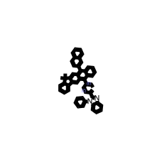 C=C(/C=C\C(=C/C)c1c2ccccc2c(-c2ccc3ccccc3c2)c2cc3c(cc12)-c1ccccc1C3(C)C)c1nc2ccccc2n1-c1ccccc1